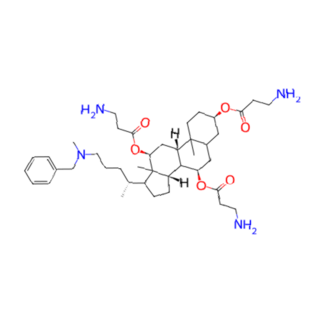 C[C@H](CCCN(C)Cc1ccccc1)C1CC[C@H]2C3[C@H](OC(=O)CCN)CC4C[C@H](OC(=O)CCN)CCC4(C)[C@H]3C[C@H](OC(=O)CCN)C12C